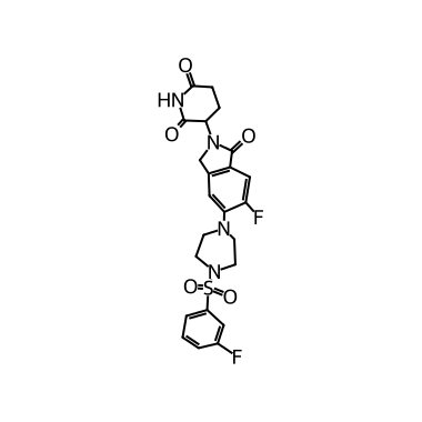 O=C1CCC(N2Cc3cc(N4CCN(S(=O)(=O)c5cccc(F)c5)CC4)c(F)cc3C2=O)C(=O)N1